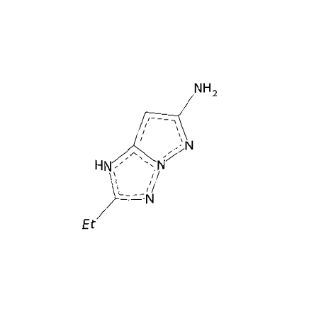 CCc1nn2nc(N)cc2[nH]1